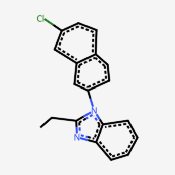 CCc1nc2ccccc2n1-c1ccc2ccc(Cl)cc2c1